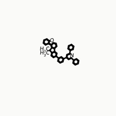 CC1(C)c2ccc(-c3cccc(-c4cc(-c5ccccc5)nc(-c5ccccc5)c4)c3)cc2-c2ccc3oc4ccccc4c3c21